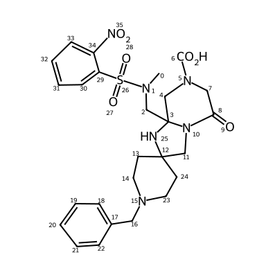 CN(CC12CN(C(=O)O)CC(=O)N1CC1(CCN(Cc3ccccc3)CC1)N2)S(=O)(=O)c1ccccc1[N+](=O)[O-]